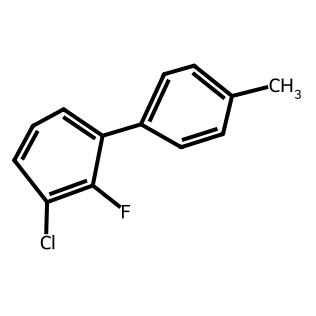 Cc1ccc(-c2cccc(Cl)c2F)cc1